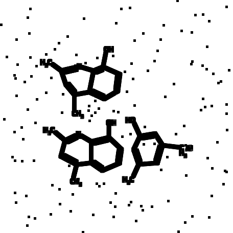 Cc1cc(C)c2cccc(O)c2n1.Cc1cc(C)c2cccc(O)c2n1.Cc1cc(C)cc(O)c1.[Al]